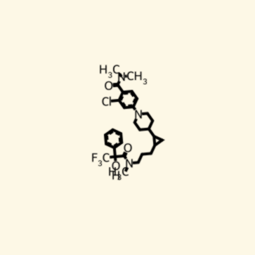 CN(C)C(=O)c1ccc(N2CCC(C3CC3CCCN(C)C(=O)C(O)(c3ccccc3)C(F)(F)F)CC2)cc1Cl